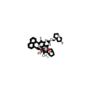 CC1Oc2nc(-c3cccc4cccc(C#C[Si](C(C)C)(C(C)C)C(C)C)c34)c(F)c3nc(OC[C@@]45CCCN4C[C@H](F)C5)nc(c23)N2CC3CCC(C12)N3C(=O)O